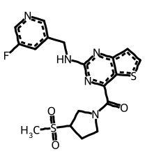 CS(=O)(=O)C1CCN(C(=O)c2nc(NCc3cncc(F)c3)nc3ccsc23)C1